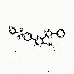 Nc1ncc(C2=CCN(S(=O)(=O)c3ccoc3)CC2)nc1-c1nnc(-c2ccccc2)o1